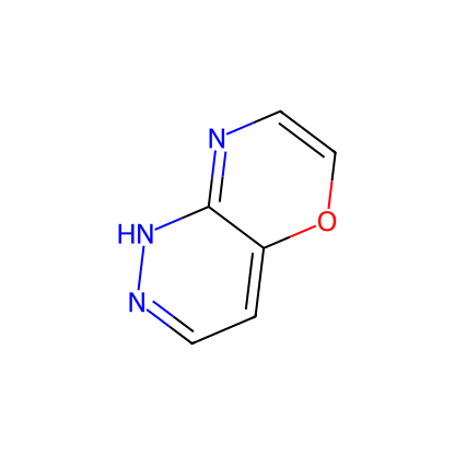 C1=COC2=CC=NNC2=N1